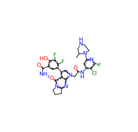 CC1CNCCN1c1cc(NC(=O)Cn2cc(-c3cc(C(N)=O)c(O)c(F)c3F)c3c(=O)n4c(nc32)CCC4)c(Cl)c(F)n1